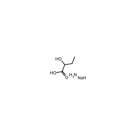 CCC(O)C(=O)O.N.[NaH]